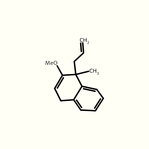 C=CCC1(C)C(OC)=CCc2ccccc21